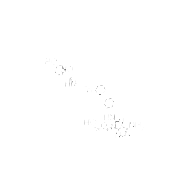 Nc1ncnc2c1nc(NCc1ccc(-c3cccc(OCCCN[C@H](CO)Cc4ccc(O)cc4)c3)cc1)n2[C@H]1CC[C@@H](CO)O1